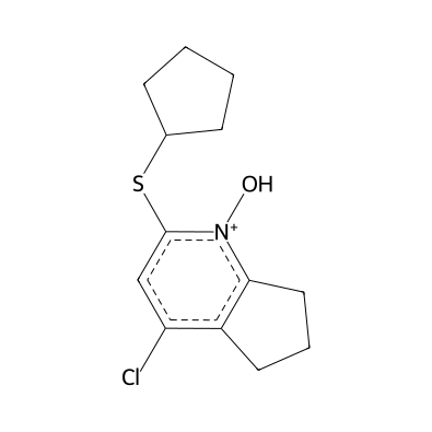 O[n+]1c(SC2CCCC2)cc(Cl)c2c1CCC2